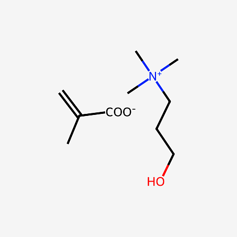 C=C(C)C(=O)[O-].C[N+](C)(C)CCCO